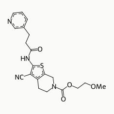 COCCOC(=O)N1CCc2c(sc(NC(=O)CCc3cccnc3)c2C#N)C1